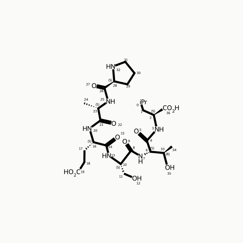 CC(C)C[C@H](NC(=O)[C@@H](NC(=O)[C@H](CO)NC(=O)[C@H](CCC(=O)O)NC(=O)[C@H](C)NC(=O)[C@@H]1CCCN1)[C@@H](C)O)C(=O)O